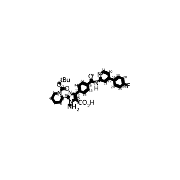 CC(C)(C)OC(=O)N1CCCC[C@H]1c1nc(-c2ccc(C(=O)Nc3cc(-c4ccc(F)cc4)ccn3)cc2)c(C(=O)O)n1N